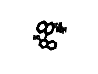 B.NO.Oc1ccc2ccccc2c1-c1cccc2ccccc12